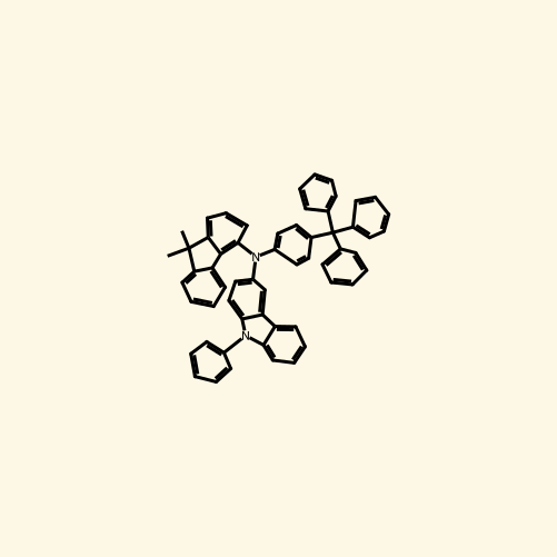 CC1(C)c2ccccc2-c2c(N(c3ccc(C(c4ccccc4)(c4ccccc4)c4ccccc4)cc3)c3ccc4c(c3)c3ccccc3n4-c3ccccc3)cccc21